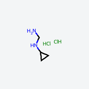 Cl.Cl.NCNC1CC1